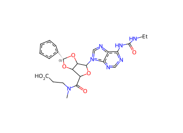 CCNC(=O)Nc1ncnc2c1ncn2C1OC(C(=O)N(C)CCC(=O)O)C2O[C@H](c3ccccc3)OC21